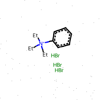 Br.Br.Br.CC[N+](CC)(CC)c1ccccc1